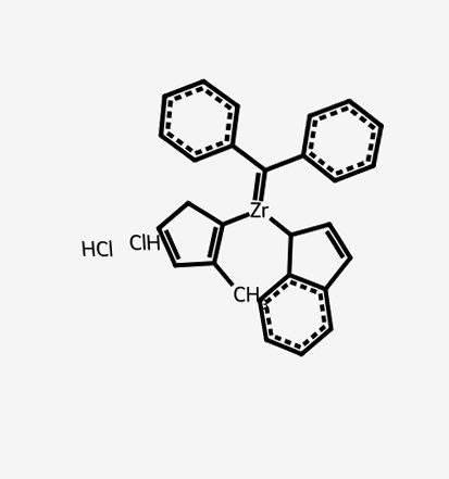 CC1=[C]([Zr](=[C](c2ccccc2)c2ccccc2)[CH]2C=Cc3ccccc32)CC=C1.Cl.Cl